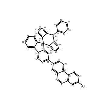 Clc1ccc2c(ccc3cc(-c4ccc5c(c4)C4(c6ccccc6-5)c5ccccc5N(c5ccccc5)c5ccccc54)ccc32)c1